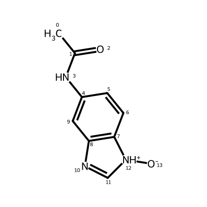 CC(=O)Nc1ccc2c(c1)N=C[NH+]2[O-]